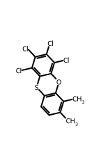 Cc1ccc2c(c1C)Oc1c(Cl)c(Cl)c(Cl)c(Cl)c1S2